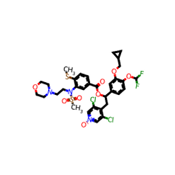 CSc1ccc(C(=O)OC(Cc2c(Cl)c[n+]([O-])cc2Cl)c2ccc(OC(F)F)c(OCC3CC3)c2)cc1N(CCN1CCOCC1)S(C)(=O)=O